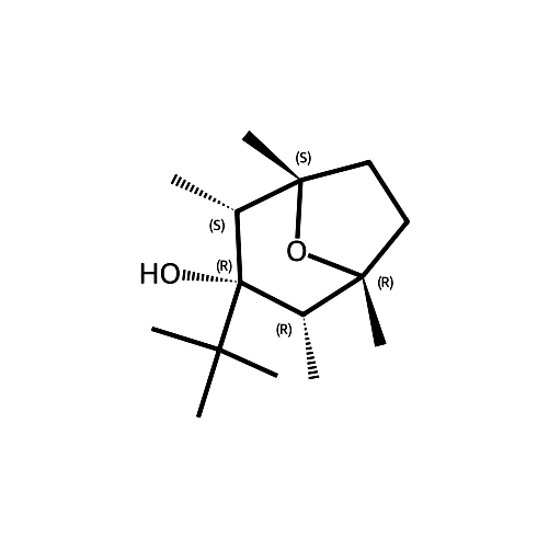 C[C@@H]1[C@@](O)(C(C)(C)C)[C@H](C)[C@]2(C)CC[C@@]1(C)O2